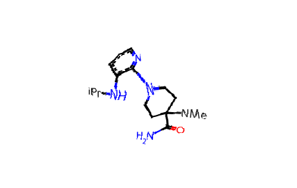 CNC1(C(N)=O)CCN(c2ncccc2NC(C)C)CC1